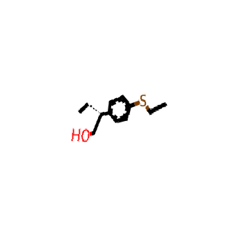 CCSc1ccc([C@@H](CC)CO)cc1